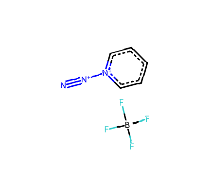 F[B-](F)(F)F.N#[N+][n+]1ccccc1